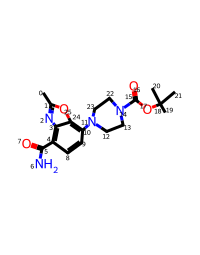 Cc1nc2c(C(N)=O)ccc(N3CCN(C(=O)OC(C)(C)C)CC3)c2o1